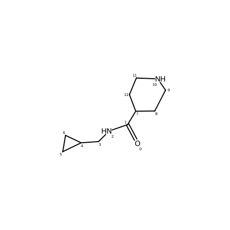 O=C(NCC1CC1)C1CCNCC1